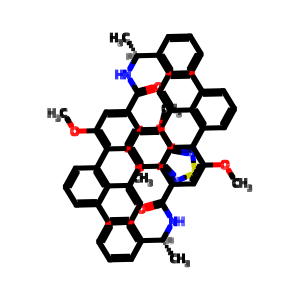 COc1cc(C(=O)N[C@H](C)c2ccccc2)cc(OC)c1-c1cccc2cccc(-c3ccc(-c4cccc5cccc(-c6c(OC)cc(C(=O)N[C@H](C)c7ccccc7)cc6OC)c45)c4nsnc34)c12